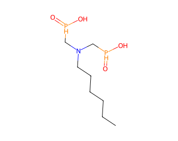 CCCCCCN(C[PH](=O)O)C[PH](=O)O